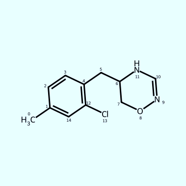 Cc1ccc(CC2CON=CN2)c(Cl)c1